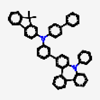 CC1(C)c2ccccc2-c2ccc(N(c3ccc(-c4ccccc4)cc3)c3cccc(-c4ccc5c(c4)-c4ccccc4-c4ccccc4N5c4ccccc4)c3)cc21